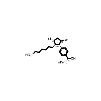 CCCCC[C@@H](O)c1ccc([C@@H]2[C@@H](CCCCCCC(=O)O)[C@H](Cl)C[C@H]2O)cc1